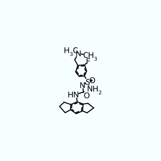 CN(C)Cc1ccc(S(N)(=O)=NC(=O)Nc2c3c(cc4c2CCC4)CCC3)cc1F